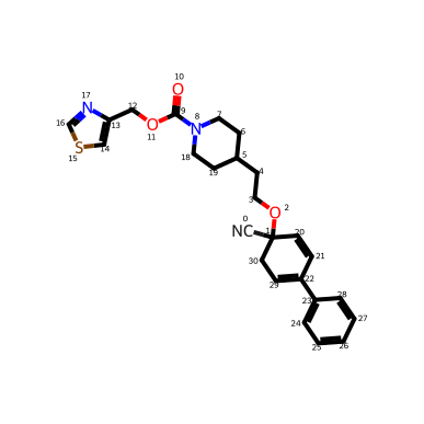 N#CC1(OCCC2CCN(C(=O)OCc3cscn3)CC2)C=CC(c2ccccc2)=CC1